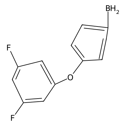 Bc1ccc(Oc2cc(F)cc(F)c2)cc1